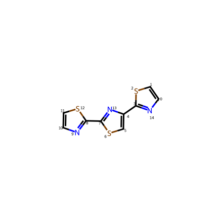 [c]1csc(-c2csc(-c3nccs3)n2)n1